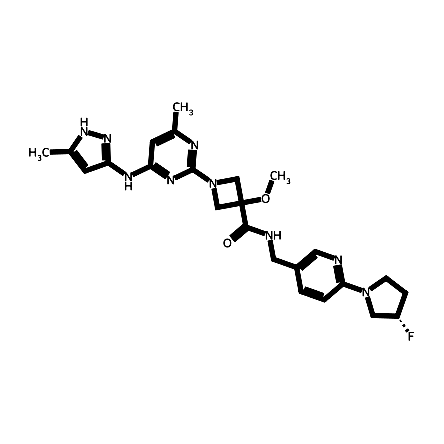 COC1(C(=O)NCc2ccc(N3CC[C@H](F)C3)nc2)CN(c2nc(C)cc(Nc3cc(C)[nH]n3)n2)C1